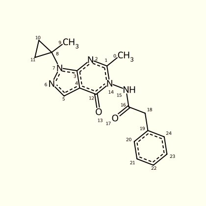 Cc1nc2c(cnn2C2(C)CC2)c(=O)n1NC(=O)Cc1ccccc1